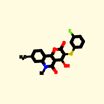 CCn1c(=O)c2c(O)c(Sc3cccc(F)c3)c(=O)oc2c2ccc(C)cc21